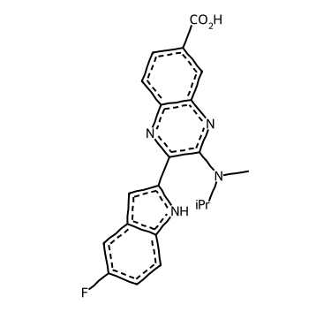 CC(C)N(C)c1nc2cc(C(=O)O)ccc2nc1-c1cc2cc(F)ccc2[nH]1